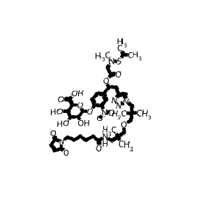 CC(C)SN(C)CC(=O)OC(Cc1cn(CC(C)(C)COCC(C)(C)CNC(=O)CCCCCN2C(=O)C=CC2=O)nn1)c1ccc(OC2OC(C(=O)O)C(O)C(O)C2O)c([N+](=O)[O-])c1